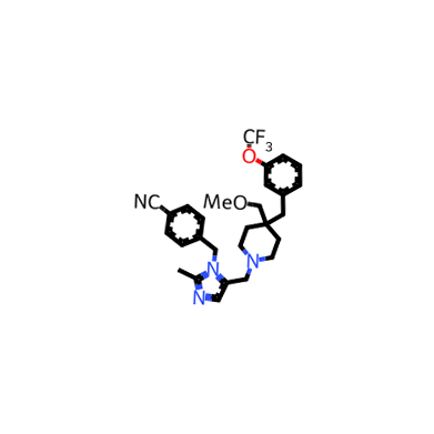 COCC1(Cc2cccc(OC(F)(F)F)c2)CCN(Cc2cnc(C)n2Cc2ccc(C#N)cc2)CC1